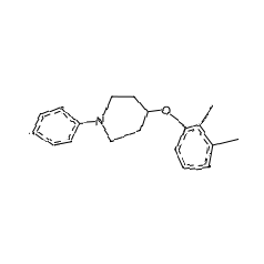 Cc1cccc(OC2CCN(c3cc[c]cc3)CC2)c1C